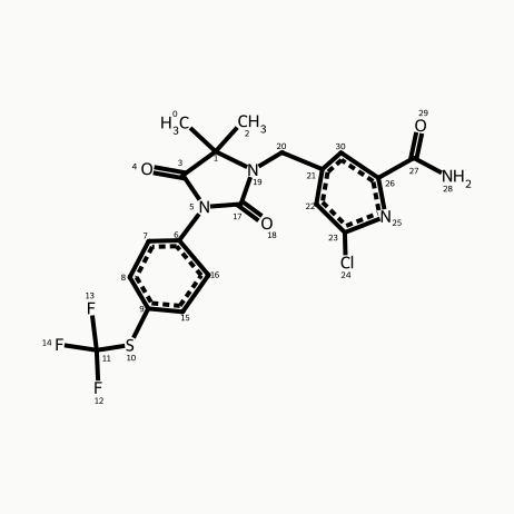 CC1(C)C(=O)N(c2ccc(SC(F)(F)F)cc2)C(=O)N1Cc1cc(Cl)nc(C(N)=O)c1